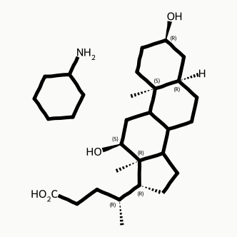 C[C@H](CCC(=O)O)[C@H]1CCC2C3CC[C@@H]4C[C@H](O)CC[C@]4(C)C3C[C@H](O)[C@@]21C.NC1CCCCC1